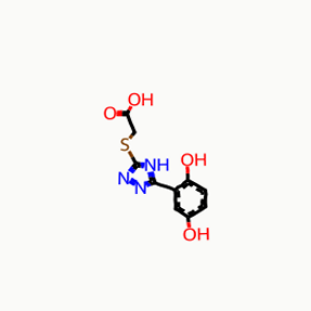 O=C(O)CSc1nnc(-c2cc(O)ccc2O)[nH]1